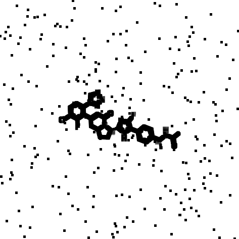 CC(=O)N[C@H](C)c1ccc(-c2[nH]c([C@@H]3CCC4CC(c5c(-n6cnnn6)ccc(Cl)c5F)=CC(=O)N43)nc2F)cc1